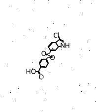 O=C(O)c1ccc(S(=O)(=O)C2=CC3NC=C(Cl)C3C=C2)cc1